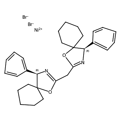 [Br-].[Br-].[Ni+2].c1ccc([C@H]2N=C(CC3=N[C@H](c4ccccc4)C4(CCCCC4)O3)OC23CCCCC3)cc1